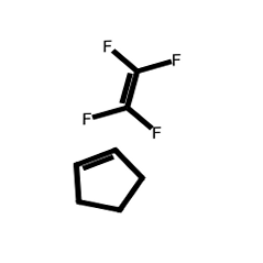 C1=CCCC1.FC(F)=C(F)F